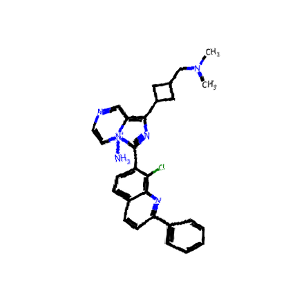 CN(C)CC1CC(C2=C3C=NC=C[N+]3(N)C(c3ccc4ccc(-c5ccccc5)nc4c3Cl)=N2)C1